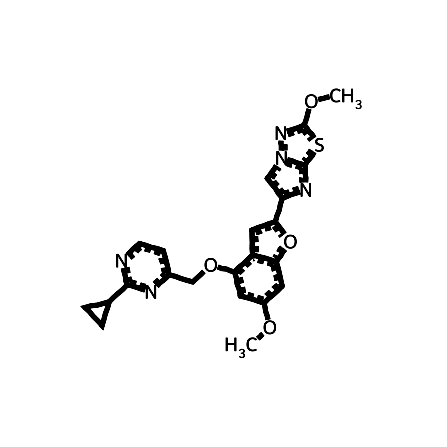 COc1cc(OCc2ccnc(C3CC3)n2)c2cc(-c3cn4nc(OC)sc4n3)oc2c1